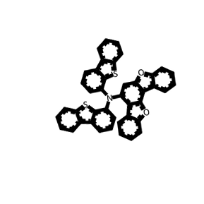 c1ccc2c(c1)oc1c2c(N(c2cccc3c2sc2ccccc23)c2cccc3c2sc2ccccc23)cc2oc3ccccc3c21